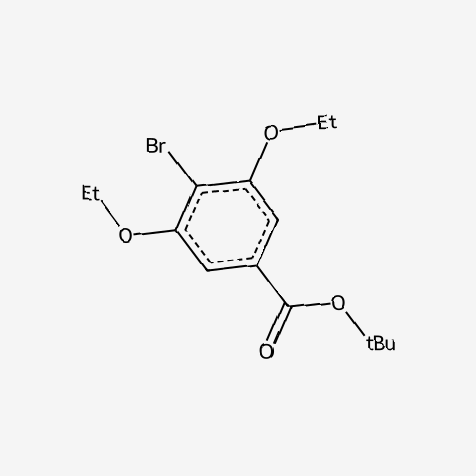 CCOc1cc(C(=O)OC(C)(C)C)cc(OCC)c1Br